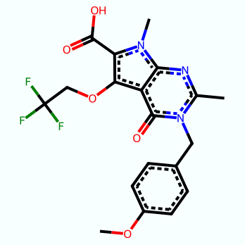 COc1ccc(Cn2c(C)nc3c(c(OCC(F)(F)F)c(C(=O)O)n3C)c2=O)cc1